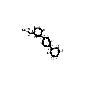 CC(=O)Cc1cccc(-c2ccc(-c3ccccc3)cc2)c1